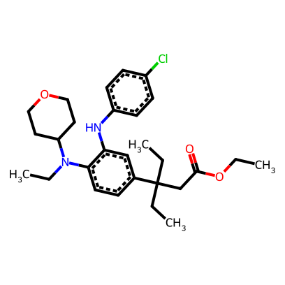 CCOC(=O)CC(CC)(CC)c1ccc(N(CC)C2CCOCC2)c(Nc2ccc(Cl)cc2)c1